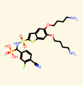 N#Cc1ccc(C(NS(=O)(=O)c2cc3cc(OCCCCN)c(OCCCCN)cc3s2)P(=O)(O)O)cc1F